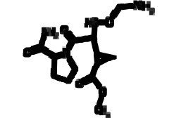 COC(=O)C1CC1C(BOCN)C(=O)N1CCCC1C(N)=O